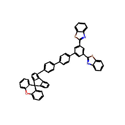 c1ccc2c(c1)Oc1ccccc1C21c2ccccc2-c2c(-c3ccc(-c4ccc(-c5cc(-c6nc7ccccc7s6)cc(-c6nc7ccccc7s6)c5)cc4)cc3)cccc21